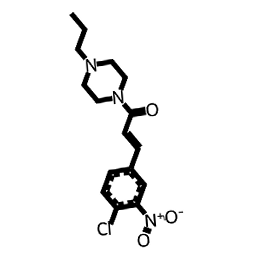 CCCN1CCN(C(=O)C=Cc2ccc(Cl)c([N+](=O)[O-])c2)CC1